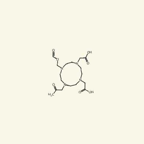 CC(=O)CN1CCN(COC=O)CCN(CC(=O)O)CCN(CC(=O)O)CC1